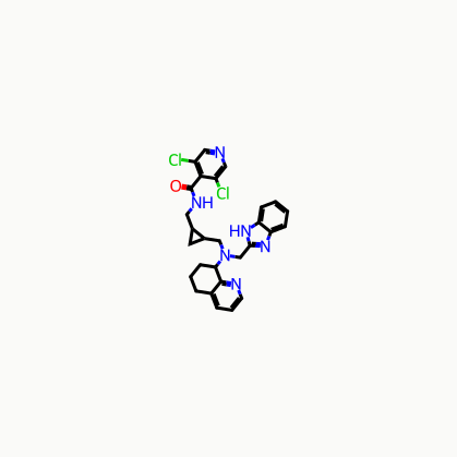 O=C(NCC1CC1CN(Cc1nc2ccccc2[nH]1)C1CCCc2cccnc21)c1c(Cl)cncc1Cl